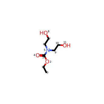 C[CH]OC(=O)N(CCO)CCO